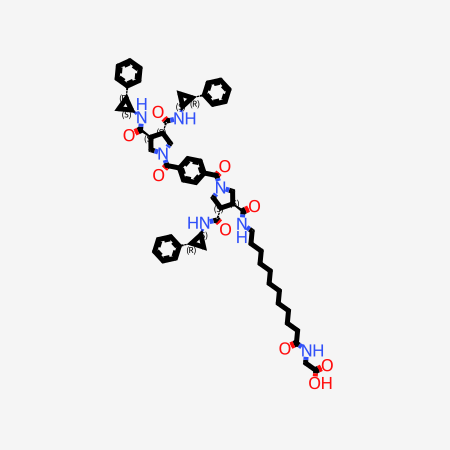 O=C(O)CNC(=O)CCCCCCCCCCCNC(=O)[C@@H]1CN(C(=O)c2ccc(C(=O)N3C[C@@H](C(=O)N[C@H]4C[C@@H]4c4ccccc4)[C@H](C(=O)N[C@H]4C[C@@H]4c4ccccc4)C3)cc2)C[C@H]1C(=O)N[C@H]1C[C@@H]1c1ccccc1